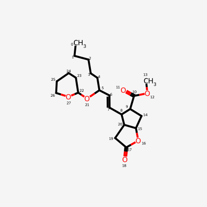 CCCCCC(/C=C/C1C(C(=O)OC)CC2OC(=O)CC21)OC1CCCCO1